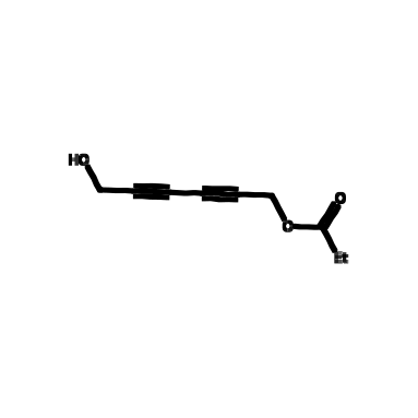 CCC(=O)OCC#CC#CCO